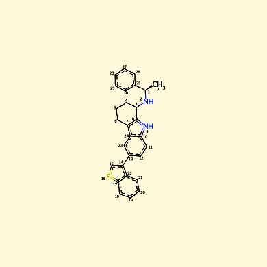 C[C@@H](NC1CCCc2c1[nH]c1ccc(-c3csc4ccccc34)cc21)c1ccccc1